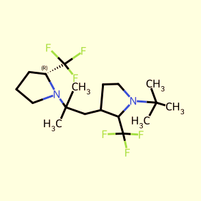 CC(C)(C)N1CCC(CC(C)(C)N2CCC[C@@H]2C(F)(F)F)C1C(F)(F)F